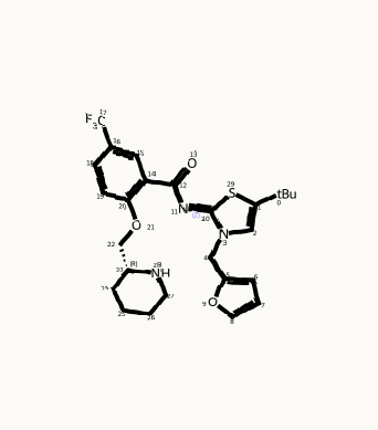 CC(C)(C)c1cn(Cc2ccco2)/c(=N/C(=O)c2cc(C(F)(F)F)ccc2OC[C@H]2CCCCN2)s1